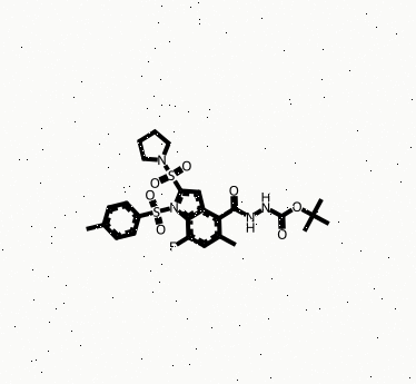 Cc1ccc(S(=O)(=O)n2c(S(=O)(=O)N3CCCC3)cc3c(C(=O)NNC(=O)OC(C)(C)C)c(C)cc(F)c32)cc1